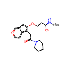 CC(C)(C)NC(O)CCOc1cc2coccc-2c1CC(=O)N1CCCCC1